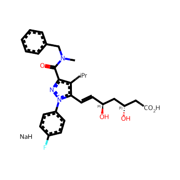 CC(C)c1c(C(=O)N(C)Cc2ccccc2)nn(-c2ccc(F)cc2)c1C=C[C@H](O)C[C@@H](O)CC(=O)O.[NaH]